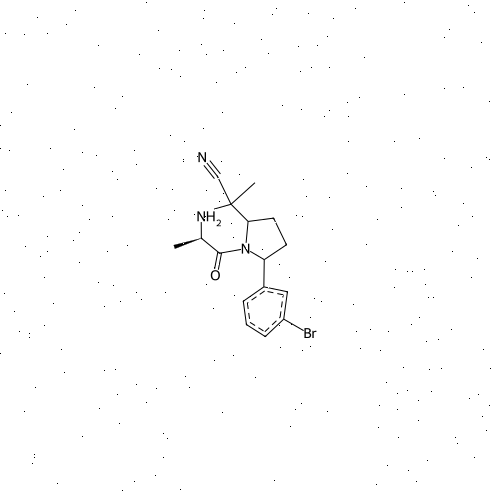 C[C@@H](N)C(=O)N1C(c2cccc(Br)c2)CCC1C(C)(C)C#N